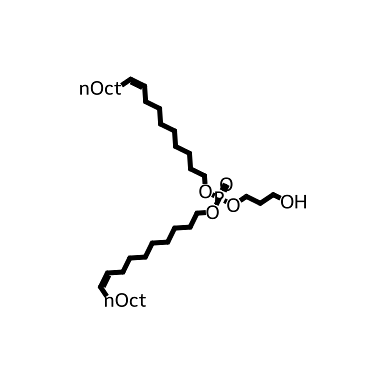 CCCCCCCC/C=C\CCCCCCCCOP(=O)(OCCCO)OCCCCCCCC/C=C\CCCCCCCC